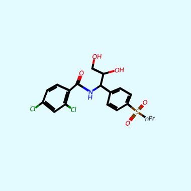 CCCS(=O)(=O)c1ccc(C(NC(=O)c2ccc(Cl)cc2Cl)C(O)CO)cc1